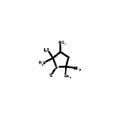 BC1(B)CC([N+](=O)[O-])C(B)(B)[S+]1[O-]